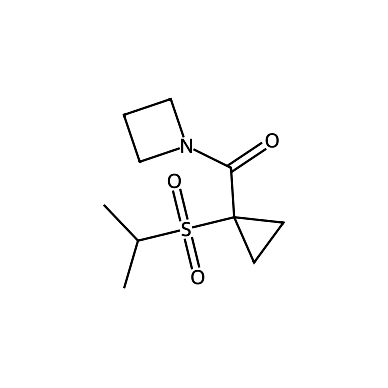 CC(C)S(=O)(=O)C1(C(=O)N2CCC2)CC1